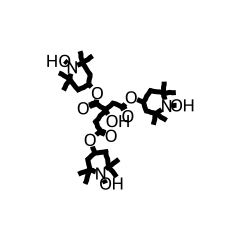 CC1(C)CC(OC(=O)CC(O)(CC(=O)OC2CC(C)(C)N(O)C(C)(C)C2)C(=O)OC2CC(C)(C)N(O)C(C)(C)C2)CC(C)(C)N1O